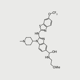 COCCNC(O)c1ccc2c(c1)nc(Nc1nc3ccc(OC(F)(F)F)cc3s1)n2C1CCN(C)CC1